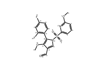 COc1cccc(S(=O)(=O)n2cc(C=O)c(OC)c2-c2ccc(F)cc2F)n1